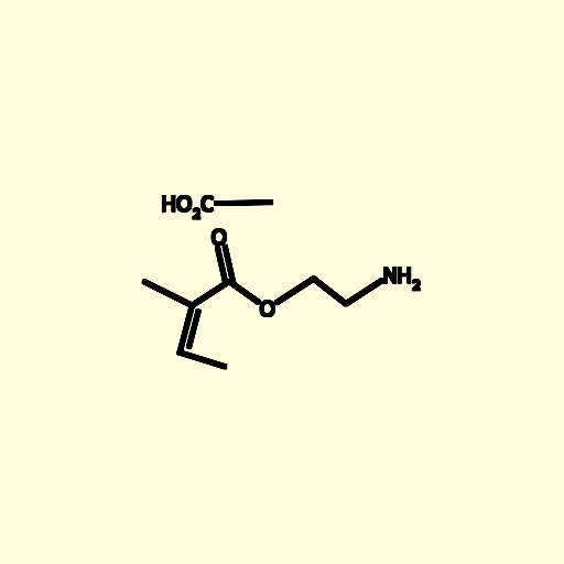 CC(=O)O.CC=C(C)C(=O)OCCN